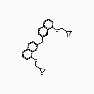 c1cc(OCC2CO2)c2cc(Cc3ccc4cccc(OCC5CO5)c4c3)ccc2c1